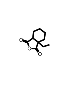 CCC12CCCCC1C(=O)OC2=O